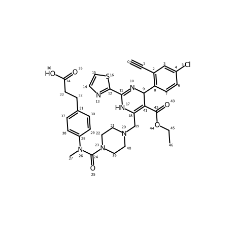 C#Cc1cc(Cl)ccc1C1N=C(c2nccs2)NC(CN2CCN(C(=O)N(C)c3ccc(CCC(=O)O)cc3)CC2)=C1C(=O)OCC